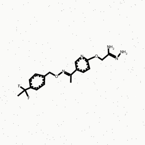 C/C(=N\OCc1ccc(C(C)(F)F)cc1)c1ccc(OC/C(N)=N/N)nc1